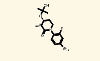 Bc1ccc(N2CC[C@H](OC(C)(C)O)[C@H](C)C2=O)c(F)c1